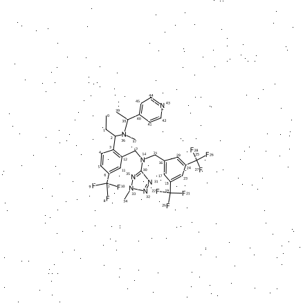 CCC(c1ccc(C(F)(F)F)cc1CN(Cc1cc(C(F)(F)F)cc(C(F)(F)F)c1)c1nnn(C)n1)N(C)C(C)c1ccncc1